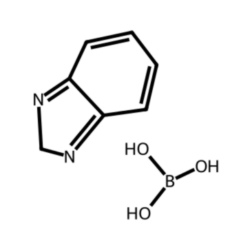 OB(O)O.c1ccc2c(c1)=NCN=2